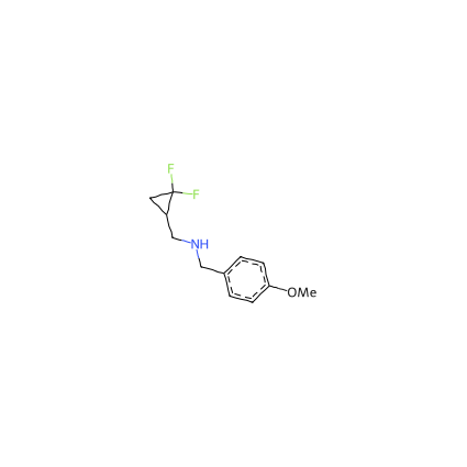 COc1ccc(CNCC2CC2(F)F)cc1